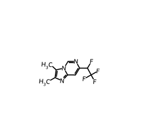 Cc1nc2cc(C(F)C(F)(F)F)ncn2c1C